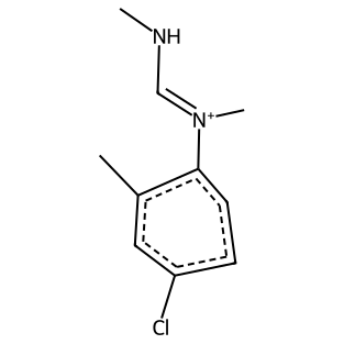 CNC=[N+](C)c1ccc(Cl)cc1C